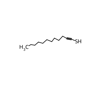 CCCCCCCCCCC#CS